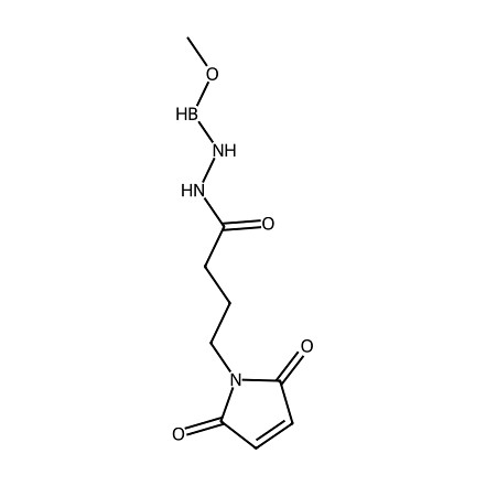 COBNNC(=O)CCCN1C(=O)C=CC1=O